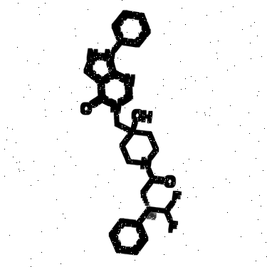 O=C(C[C@@H](c1ccccc1)C(F)F)N1CCC(O)(Cn2cnc3c(cnn3-c3ccccc3)c2=O)CC1